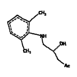 CC(=O)CC(O)CNc1c(C)cccc1C